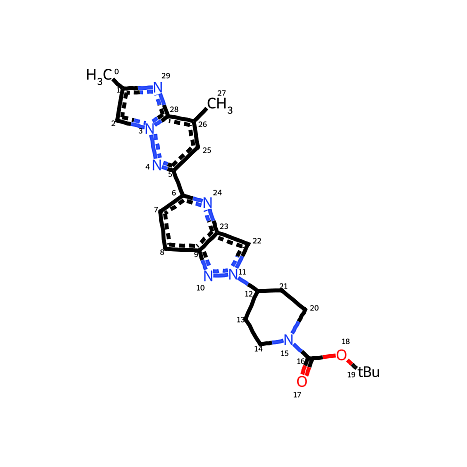 Cc1cn2nc(-c3ccc4nn(C5CCN(C(=O)OC(C)(C)C)CC5)cc4n3)cc(C)c2n1